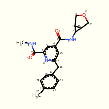 CNC(=O)c1cc(C(=O)NC2C3COCC32)cc(Cc2ccc(C)cc2)n1